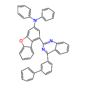 c1ccc(-c2cccc(-c3nc(-c4cc(N(c5ccccc5)c5ccccc5)cc5oc6ccccc6c45)nc4ccccc34)c2)cc1